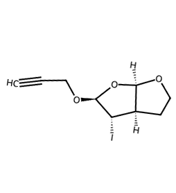 C#CCO[C@H]1O[C@H]2OCC[C@H]2[C@@H]1I